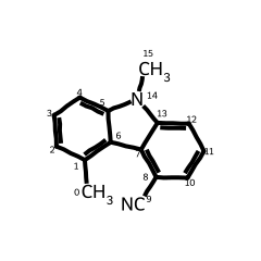 Cc1cccc2c1c1c(C#N)cccc1n2C